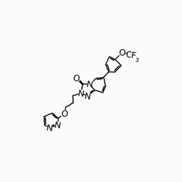 O=c1n(CCCOc2cccnn2)nc2ccc(-c3ccc(OC(F)(F)F)cc3)cn12